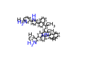 C=C/C=C(\CN)C1CC=C(/C(=C/CC(C)C2=c3ccccc3=C(C3=CNC(C(/C=C\C)CN)C=C3)CC2)C(C)NC2=CC3C=CC=C[C@@H]3C=C2)C2=C1CCC=C2